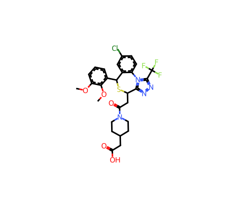 COc1cccc(C2SC(CC(=O)N3CCC(CC(=O)O)CC3)c3nnc(C(F)(F)F)n3-c3ccc(Cl)cc32)c1OC